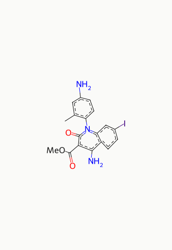 COC(=O)c1c(N)c2ccc(I)cc2n(-c2ccc(N)cc2C)c1=O